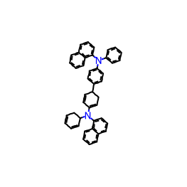 C1=CCC(N(C2=CCC(c3ccc(N(c4ccccc4)c4cccc5ccccc45)cc3)C=C2)c2cccc3ccccc23)C=C1